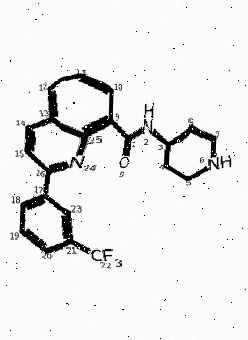 O=C(NC1CCNCC1)c1cccc2ccc(-c3cccc(C(F)(F)F)c3)nc12